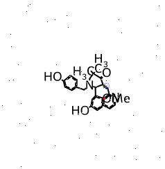 COc1ccc(O)cc1C1/C(=C\c2ccccn2)C(=O)C(C)(C)CN1Cc1ccc(O)cc1